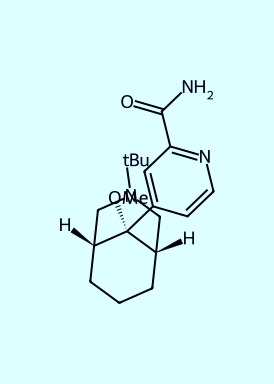 CO[C@@]1(c2ccnc(C(N)=O)c2)[C@@H]2CCC[C@H]1CN(C(C)(C)C)C2